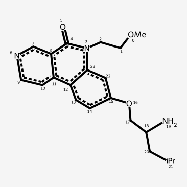 COCCn1c(=O)c2cnccc2c2ccc(OCC(N)CC(C)C)cc21